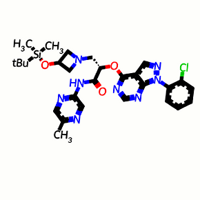 Cc1cnc(NC(=O)[C@H](CN2CC(O[Si](C)(C)C(C)(C)C)C2)Oc2ncnc3c2cnn3-c2ccccc2Cl)cn1